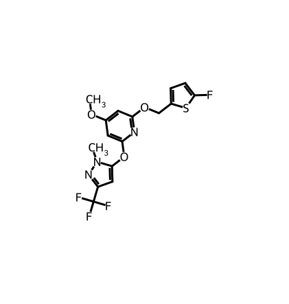 COc1cc(OCc2ccc(F)s2)nc(Oc2cc(C(F)(F)F)nn2C)c1